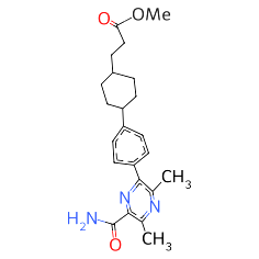 COC(=O)CCC1CCC(c2ccc(-c3nc(C(N)=O)c(C)nc3C)cc2)CC1